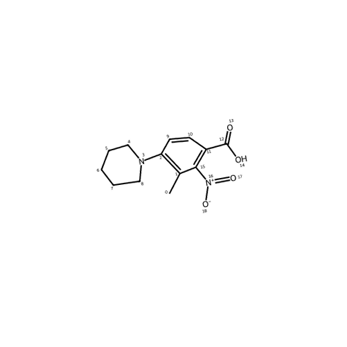 Cc1c(N2CCCCC2)ccc(C(=O)O)c1[N+](=O)[O-]